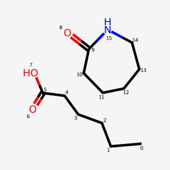 CCCCCC(=O)O.O=C1CCCCCN1